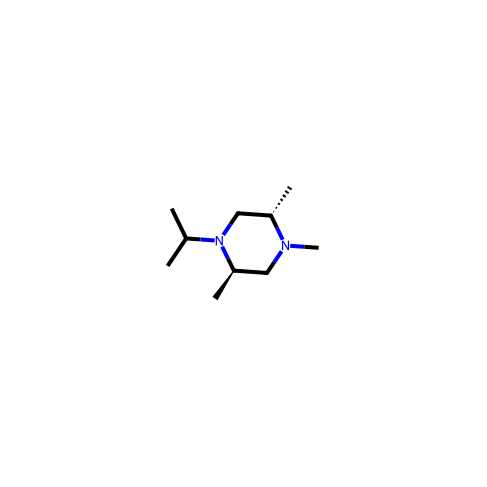 CC(C)N1C[C@H](C)N(C)C[C@H]1C